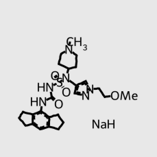 COCCn1cc(N(C2CCN(C)CC2)S(=O)(=O)NC(=O)Nc2c3c(cc4c2CCC4)CCC3)cn1.[NaH]